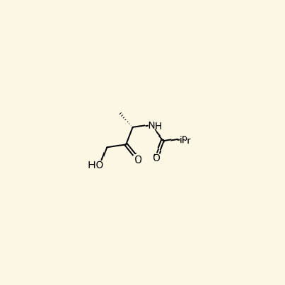 CC(C)C(=O)N[C@@H](C)C(=O)CO